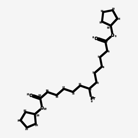 CC(C)C(CCCCCC(=O)OC1CCCC1)CCCCCC(=O)OC1CCCC1